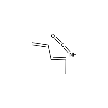 C=CC=CC.N=C=O